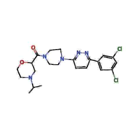 CC(C)N1CCOC(C(=O)N2CCN(c3ccc(-c4cc(Cl)cc(Cl)c4)nn3)CC2)C1